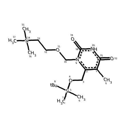 Cc1c(CO[Si](C)(C)C(C)(C)C)n(COCC[Si](C)(C)C)c(=O)[nH]c1=O